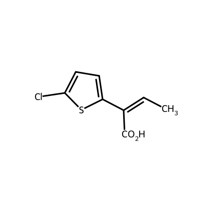 CC=C(C(=O)O)c1ccc(Cl)s1